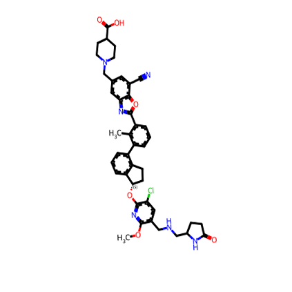 COc1nc(O[C@H]2CCc3c(-c4cccc(-c5nc6cc(CN7CCC(C(=O)O)CC7)cc(C#N)c6o5)c4C)cccc32)c(Cl)cc1CNCC1CCC(=O)N1